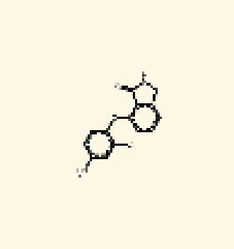 Nc1ccc(Oc2cccc3c2C(=O)NC3)c(Cl)c1